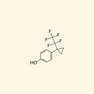 Oc1ccc(C2(C(F)(F)C(F)(F)F)CC2)cc1